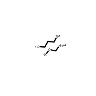 CCCCCCOCC.OCCCO